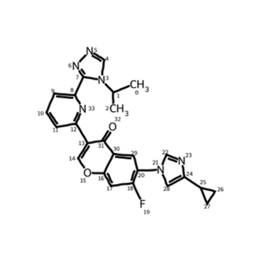 CC(C)n1cnnc1-c1cccc(-c2coc3cc(F)c(-n4cnc(C5CC5)c4)cc3c2=O)n1